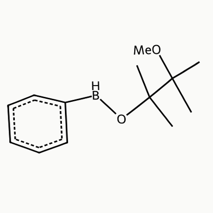 COC(C)(C)C(C)(C)OBc1ccccc1